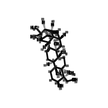 CC1(C)C[C@H]2C3=CC[C@@H]4[C@@]5(C)CC[C@H](O)[C@](C)(CO)[C@@H]5CC[C@@]4(C)[C@]3(C)C[C@H]3O[C@@H]1[C@@H](O)[C@]32CO